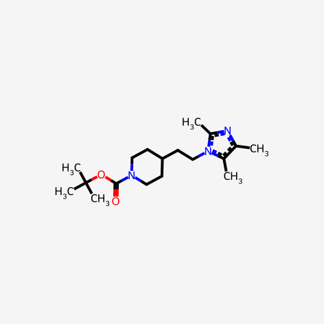 Cc1nc(C)n(CCC2CCN(C(=O)OC(C)(C)C)CC2)c1C